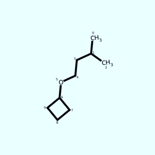 CC(C)CCOC1CCC1